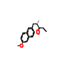 CCC(=O)[C@@H](C)Cc1ccc2cc(OC)ccc2c1